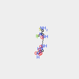 NC(=S)c1cccc(-c2cn(C3CCC(F)(F)CC3)c3cc(NC(=O)CCCCCCCCNC(=O)CNc4cccc5c4C(=O)N(C4CCC(=O)NC4=O)C5=O)ccc23)c1